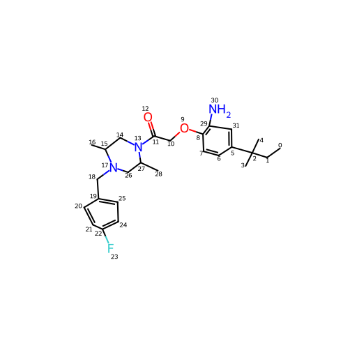 CCC(C)(C)c1ccc(OCC(=O)N2CC(C)N(Cc3ccc(F)cc3)CC2C)c(N)c1